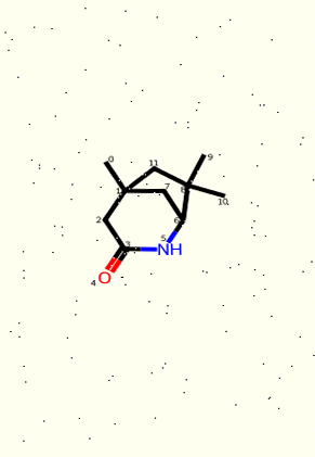 CC12CC(=O)NC(C1)C(C)(C)C2